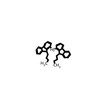 CCCCC1c2ccccc2-c2ccc[c]([Hf][c]3cccc4c3C(CCCC)c3ccccc3-4)c21